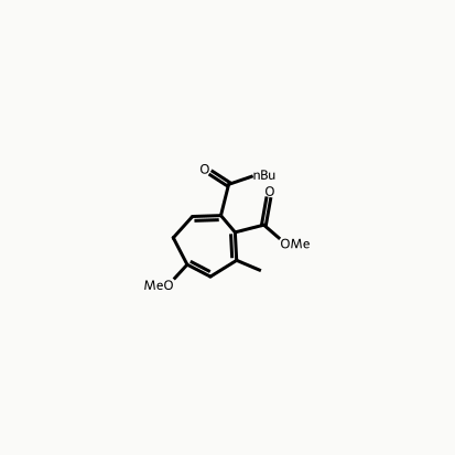 CCCCC(=O)C1=CCC(OC)=CC(C)=C1C(=O)OC